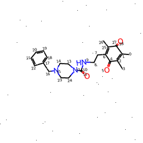 CC1=C(C)C(=O)C(CCNC(=O)N2CCN(Cc3ccccc3)CC2)=C(C)C1=O